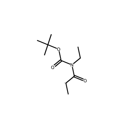 C[CH]C(=O)N(CC)C(=O)OC(C)(C)C